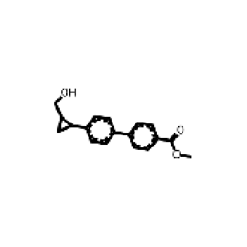 COC(=O)c1ccc(-c2ccc(C3CC3CO)cc2)cc1